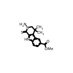 COC(=O)c1ccc2[nH]c3c(c2c1)C(C)(C)CN(N)C3=S